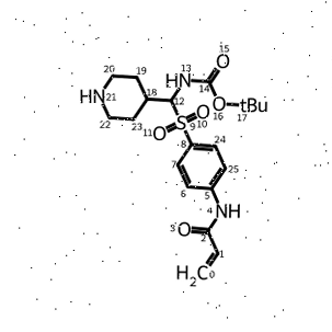 C=CC(=O)Nc1ccc(S(=O)(=O)C(NC(=O)OC(C)(C)C)C2CCNCC2)cc1